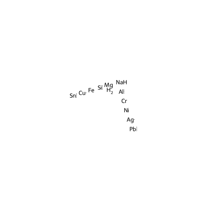 [Ag].[Al].[Cr].[Cu].[Fe].[MgH2].[NaH].[Ni].[Pb].[Si].[Sn]